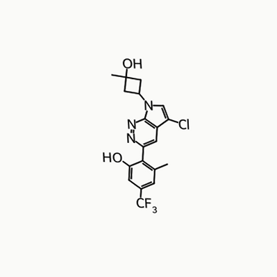 Cc1cc(C(F)(F)F)cc(O)c1-c1cc2c(Cl)cn(C3CC(C)(O)C3)c2nn1